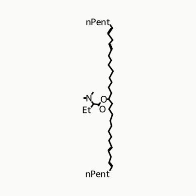 CCCCCC=CCC=CCCCCCCCCC(CCCCCCCCC=CCC=CCCCCC)OC(=O)C(CC)N(C)C